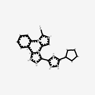 Fc1ncc2n1c1ccccc1c1nnc(-c3nc(C4CCCC4)no3)n12